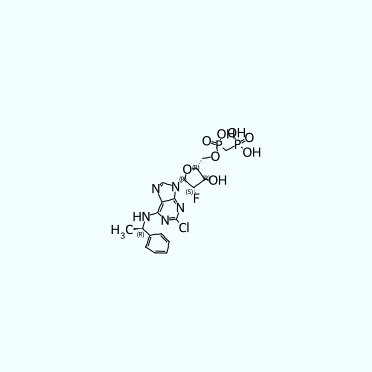 C[C@@H](Nc1nc(Cl)nc2c1ncn2[C@@H]1O[C@H](COP(=O)(O)CP(=O)(O)O)[C@@H](O)[C@@H]1F)c1ccccc1